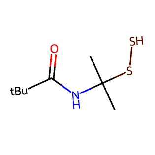 CC(C)(NC(=O)C(C)(C)C)SS